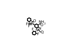 COCc1nc2c(C(N)=O)cc(NC(=O)c3ccccc3C(F)(F)F)cc2n1-c1c(F)cccc1F